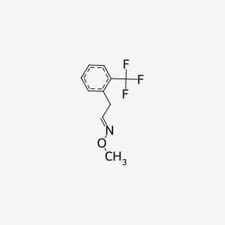 CON=CCc1ccccc1C(F)(F)F